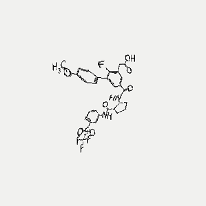 COc1ccc(-c2cc(C(=O)NC3CCCC3C(=O)Nc3cccc(S(=O)(=O)C(F)(F)F)c3)cc(CC(=O)O)c2F)cc1